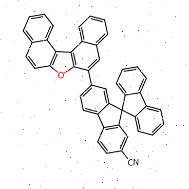 N#Cc1ccc2c(c1)C1(c3ccccc3-c3ccccc31)c1cc(-c3cc4ccccc4c4c3oc3ccc5ccccc5c34)ccc1-2